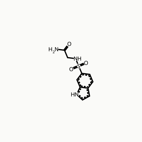 NC(=O)CNS(=O)(=O)c1ccc2cc[nH]c2c1